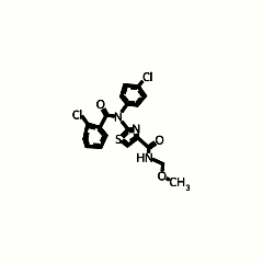 COCNC(=O)c1csc(N(C(=O)c2ccccc2Cl)c2ccc(Cl)cc2)n1